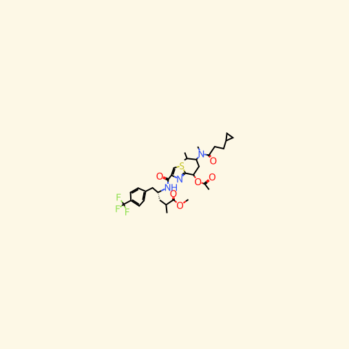 COC(=O)C(C)C[C@H](Cc1ccc(C(F)(F)F)cc1)NC(=O)c1csc(C(CC(C(C)C)N(C)C(=O)CCC2CC2)OC(C)=O)n1